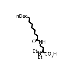 CCCCCCCCCCCCCCCCCC(=O)NCCC(C(=O)O)N(CC)CC